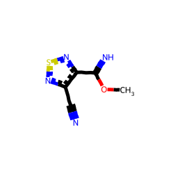 COC(=N)c1nsnc1C#N